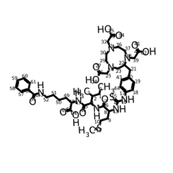 CCC(C)C(NC(=O)C(CCSC)NC(=S)Nc1ccc(CC2CN(CC(=O)O)CCN(CC(=O)O)CCN2CC(=O)O)cc1)C(=O)NC(CCCCNC(=O)c1ccccc1)C(=O)O